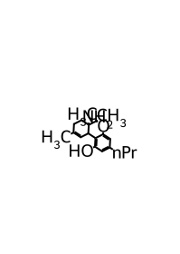 CCCc1cc(O)c2c(c1)OC(C)(C)C1(N)CCC(C)=CC21